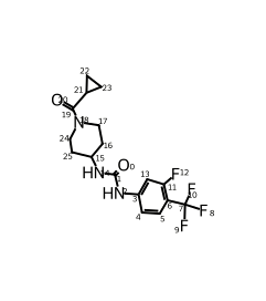 O=C(Nc1ccc(C(F)(F)F)c(F)c1)NC1CCN(C(=O)C2CC2)CC1